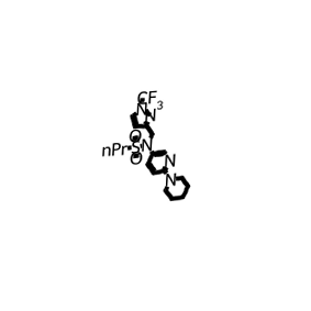 CCCS(=O)(=O)N(Cc1ccn(C(F)(F)F)n1)c1ccc(N2CCCCC2)nc1